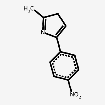 CC1=NC(c2ccc([N+](=O)[O-])cc2)=CC1